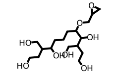 OCCC(CO)C(O)CCCC(OCC1CO1)C(O)C(CO)CCO